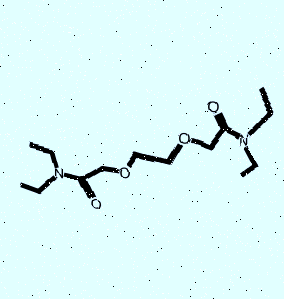 CCN(CC)C(=O)COCCOCC(=O)N(CC)CC